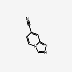 N#Cc1[c]c2nncn2cc1